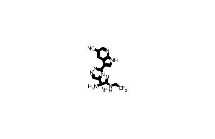 CC(C)[C@@](N)(C(=O)NCC(F)(F)F)c1cnnc(-c2c[nH]c3ncc(C#N)cc23)n1